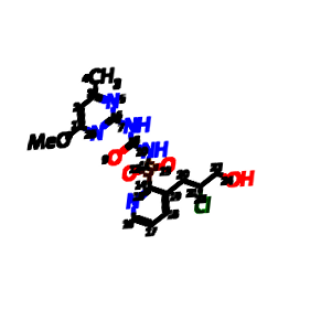 COc1cc(C)nc(NC(=O)NS(=O)(=O)c2ncccc2CC(Cl)CO)n1